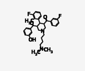 Cc1c(F)cccc1C1C(C(=O)c2cccc(O)c2)CN(CCCCN(C)C)CC1C(=O)c1cccc(F)c1